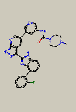 CN1CCN(C(=O)Nc2cncc(-c3cnc4[nH]nc(-c5nc6c(-c7ccccc7F)cccc6[nH]5)c4c3)c2)CC1